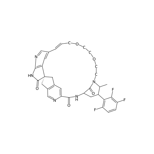 CC1C(c2c(F)ccc(F)c2F)CC2NC(=O)c3cc4c(cn3)C[C@]3(C4)C(=O)Nc4ncc(cc43)/C=C/COCCOCCN1C2=O